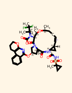 C[C@@H]1CC/C=C\[C@@H]2C[C@@]2(C(=O)NS(=O)(=O)C2(C)CC2)NC(=O)[C@@H]2C[C@@H](Oc3nc4c(c5ccccc35)CCCO4)CN2C(=O)[C@@H](N(C(=O)O)C(C)(C)C(C)(F)F)[C@H](C)O1